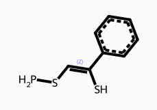 PS/C=C(\S)c1ccccc1